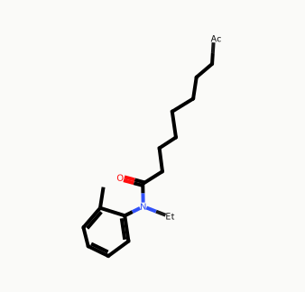 CCN(C(=O)CCCCCCCC(C)=O)c1ccccc1C